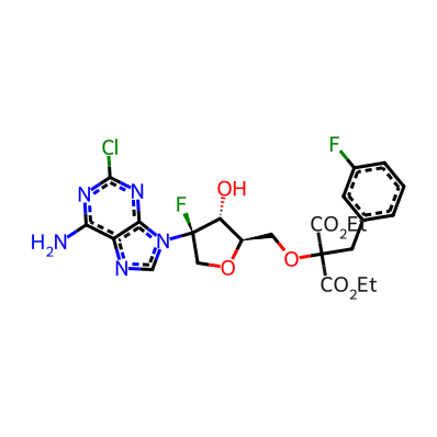 CCOC(=O)C(Cc1cccc(F)c1)(OC[C@H]1OC[C@](F)(n2cnc3c(N)nc(Cl)nc32)[C@@H]1O)C(=O)OCC